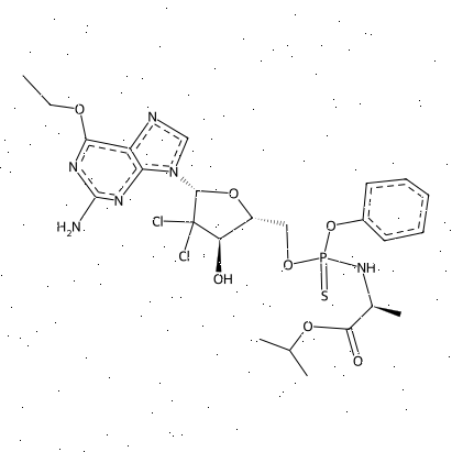 CCOc1nc(N)nc2c1ncn2[C@@H]1O[C@H](COP(=S)(N[C@@H](C)C(=O)OC(C)C)Oc2ccccc2)[C@@H](O)C1(Cl)Cl